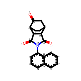 O=C1CC2CCC1C1C(=O)N(c3cccc4ccccc34)C(=O)C21